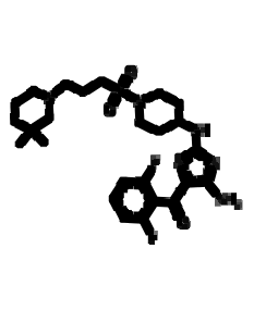 CC1(C)CCCN(CCCS(=O)(=O)N2CCC(Nc3nc(N)c(C(=O)c4c(F)cccc4F)s3)CC2)C1